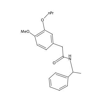 CCCOc1cc(CC(=O)NC(C)c2ccccc2)ccc1OC